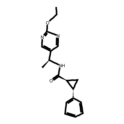 CCOc1ncc([C@H](C)NC(=O)[C@H]2C[C@@H]2c2ccccc2)cn1